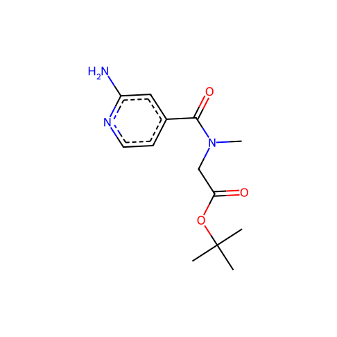 CN(CC(=O)OC(C)(C)C)C(=O)c1ccnc(N)c1